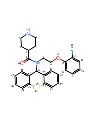 O=C(C1CCNCC1)N(CCOc1ccccc1Cl)C(c1ccccc1F)c1ccccc1F